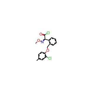 CON=C(C(=O)Cl)c1ccccc1COc1ccc(C)cc1Cl